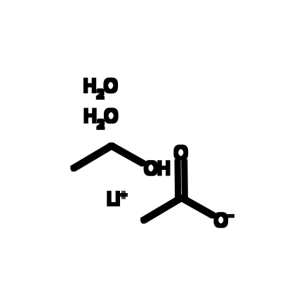 CC(=O)[O-].CCO.O.O.[Li+]